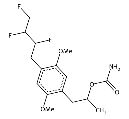 COc1cc(CC(F)C(F)CF)c(OC)cc1CC(C)OC(N)=O